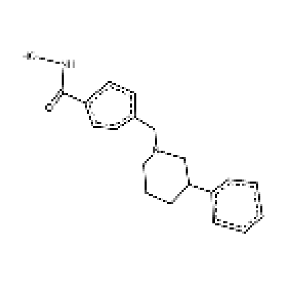 O=C(NO)c1ccc(CN2CCCC(c3ccccc3)C2)cc1